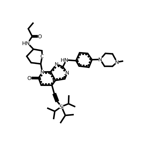 CCC(=O)NC1CCC(n2c(=O)cc(C#C[Si](C(C)C)(C(C)C)C(C)C)c3cnc(Nc4ccc(N5CCN(C)CC5)cc4)nc32)CC1